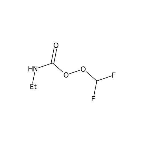 CCNC(=O)OOC(F)F